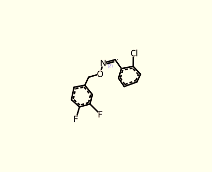 Fc1ccc(CO/N=[C]\c2ccccc2Cl)cc1F